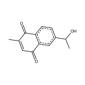 CC1=CC(=O)c2cc(C(C)O)ccc2C1=O